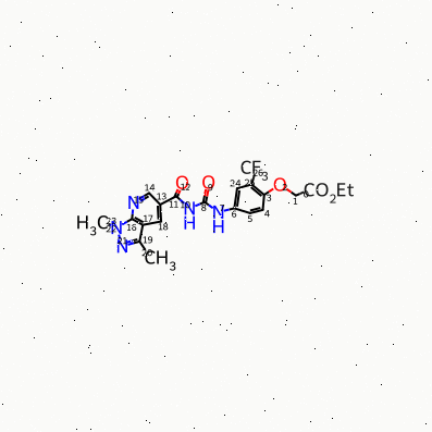 CCOC(=O)COc1ccc(NC(=O)NC(=O)c2cnc3c(c2)c(C)nn3C)cc1C(F)(F)F